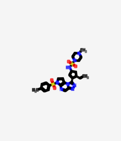 CC[C@@H]1C[C@H](NS(=O)(=O)N2CCN(C)CC2)C[C@@H]1c1nnc2cnc3c(ccn3S(=O)(=O)c3ccc(C)cc3)n12